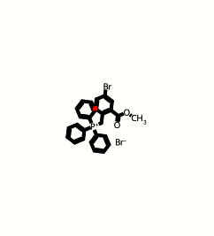 COC(=O)c1cc(Br)ccc1C[P+](c1ccccc1)(c1ccccc1)c1ccccc1.[Br-]